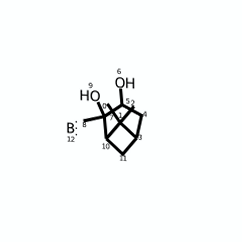 CC1(C)C2CC(O)C(C)(O)C1C2.[B]